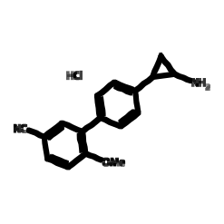 COc1ccc(C#N)cc1-c1ccc(C2CC2N)cc1.Cl